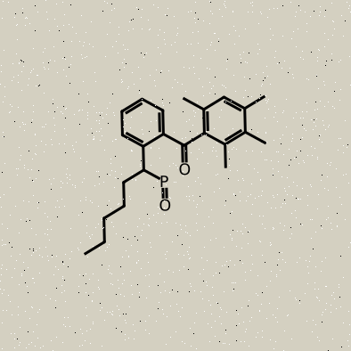 CCCCCC(P=O)c1ccccc1C(=O)c1c(C)cc(C)c(C)c1C